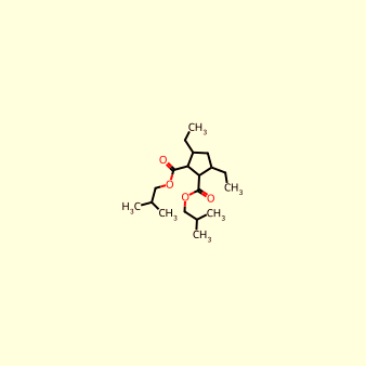 CCC1CC(CC)C(C(=O)OCC(C)C)C1C(=O)OCC(C)C